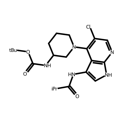 CC(C)C(=O)Nc1c[nH]c2ncc(Cl)c(N3CCCC(NC(=O)OC(C)(C)C)C3)c12